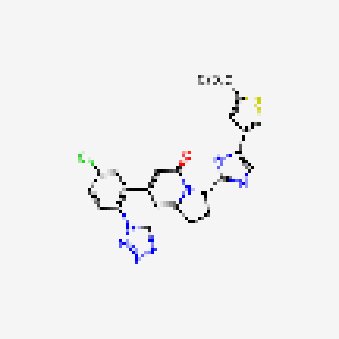 CCOC(=O)c1cc(-c2cnc([C@@H]3CCc4cc(-c5cc(Cl)ccc5-n5cnnn5)cc(=O)n43)[nH]2)cs1